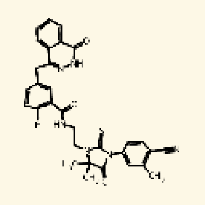 Cc1cc(N2C(=O)C(C)(C)N(CCNC(=O)c3cc(Cc4n[nH]c(=O)c5ccccc45)ccc3F)C2=S)ccc1C#N